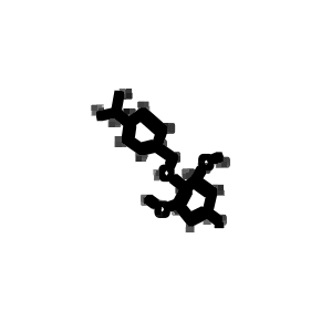 [CH]c1cc(OC)c(OCc2ccc(C(C)C)cc2)c(OC)c1